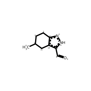 CC1CCc2n[nH]c(C=O)c2C1